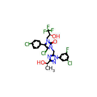 C[C@H](O)c1nc(Cn2c(Cl)c(-c3ccc(Cl)cc3)n(C[C@H](O)C(F)(F)F)c2=O)n(-c2cc(F)cc(Cl)c2)n1